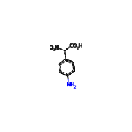 Nc1ccc(C(C(=O)O)[N+](=O)[O-])cc1